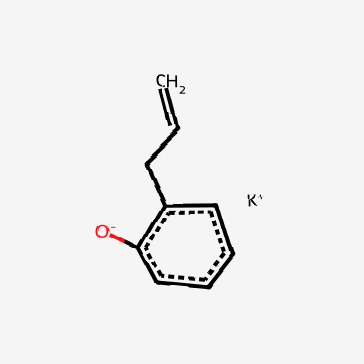 C=CCc1ccccc1[O-].[K+]